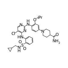 CC(C)Oc1cc(N2CCC(C(N)=O)CC2)ccc1Nc1ncc(Cl)c(Nc2ccccc2S(=O)(=O)NCC2CC2)n1